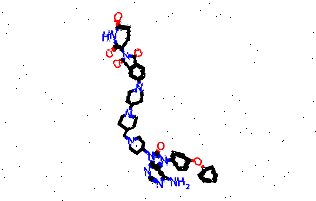 Nc1ncnc2c1n(-c1ccc(Oc3ccccc3)cc1)c(=O)n2C1CCN(CC2CCN(C3CCN(c4ccc5c(c4)C(=O)N(C4CCC(=O)NC4=O)C5=O)CC3)CC2)CC1